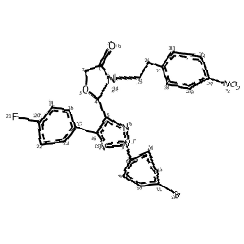 O=C1COC(c2nn(-c3ccc(Br)cc3)nc2-c2ccc(F)cc2)N1CCc1ccc([N+](=O)[O-])cc1